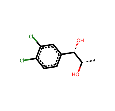 C[C@H](O)[C@@H](O)c1ccc(Cl)c(Cl)c1